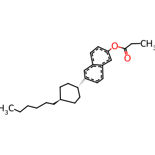 CCCCCC[C@H]1CC[C@H](c2ccc3cc(OC(=O)CC)ccc3c2)CC1